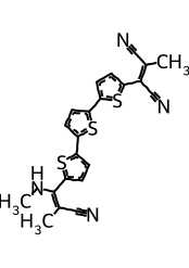 CN/C(=C(\C)C#N)c1ccc(-c2ccc(-c3ccc(/C(C#N)=C(/C)C#N)s3)s2)s1